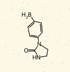 Bc1ccc(N2CCNC2=O)cc1